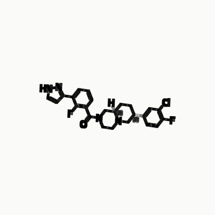 O=C(c1cccc(-c2cc[nH]n2)c1F)N1CCN2C[C@@H](c3ccc(F)c(Cl)c3)CC[C@@H]2C1